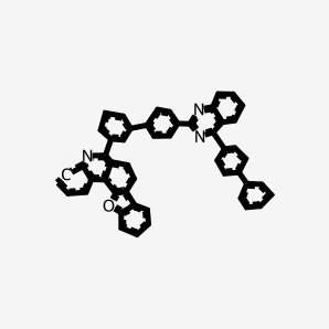 c1ccc(-c2ccc(-c3nc(-c4ccc(-c5cccc(-c6nc7ccccc7c7c6ccc6c8ccccc8oc67)c5)cc4)nc4ccccc34)cc2)cc1